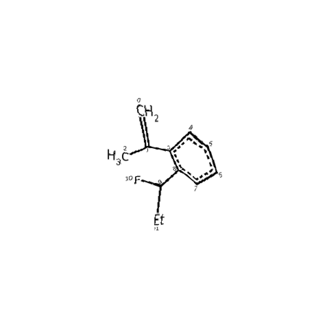 C=C(C)c1ccccc1C(F)CC